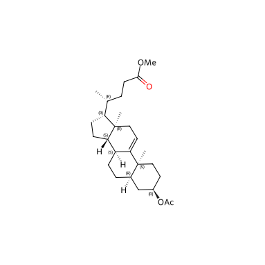 COC(=O)CC[C@@H](C)[C@H]1CC[C@H]2[C@@H]3CC[C@@H]4C[C@H](OC(C)=O)CC[C@]4(C)C3=CC[C@]12C